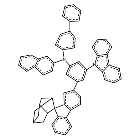 c1ccc(-c2ccc(N(c3cc(-c4ccc5c(c4)C4(c6ccccc6-5)C5CC6CC(C5)C4C6)cc(-n4c5ccccc5c5ccccc54)c3)c3ccc4ccccc4c3)cc2)cc1